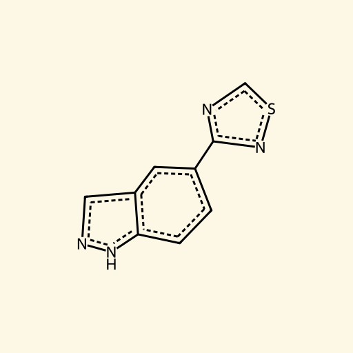 c1nc(-c2ccc3[nH]ncc3c2)ns1